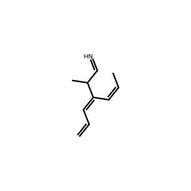 C=C/C=C(\C=C/C)C(C)C=N